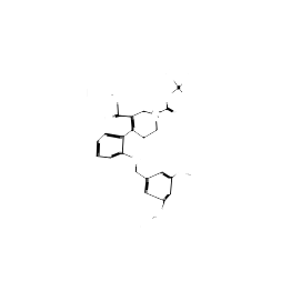 COC(=O)C1=C(c2ccccc2OCc2cc(OC)cc(OC)c2)CCN(C(=O)OC(C)(C)C)C1